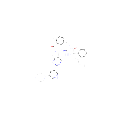 CN1CCN(c2cncc(-c3ncc4c(n3)CN(C(=O)c3cc(CN5C(=N)N[C@](CCCC(F)(F)F)(c6ccc(F)cc6)C5=O)ccc3C(F)(F)F)C4)c2)CC1